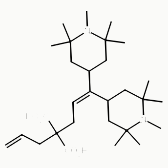 C=CCC(CC=C(C1CC(C)(C)N(C)C(C)(C)C1)C1CC(C)(C)N(C)C(C)(C)C1)(C(=O)O)C(=O)O